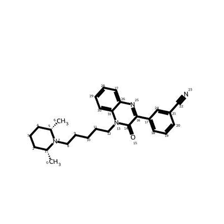 C[C@@H]1CCC[C@H](C)N1CCCCCn1c(=O)c(-c2cccc(C#N)c2)nc2ccccc21